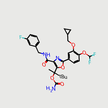 CC(C)(C)C(C)(OC(N)=O)c1oc(-c2ccc(OC(F)F)c(OCC3CC3)c2)nc1C(=O)NCc1cccc(F)c1